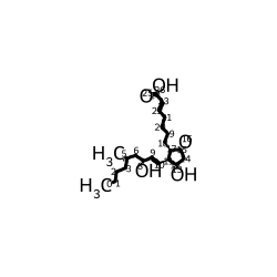 CCCC[C@H](C)C[C@H](O)/C=C/[C@@H]1[C@H](O)CC(=O)[C@@H]1CCCC/C=C/C(=O)O